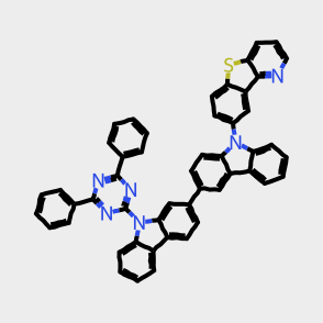 c1ccc(-c2nc(-c3ccccc3)nc(-n3c4ccccc4c4ccc(-c5ccc6c(c5)c5ccccc5n6-c5ccc6sc7cccnc7c6c5)cc43)n2)cc1